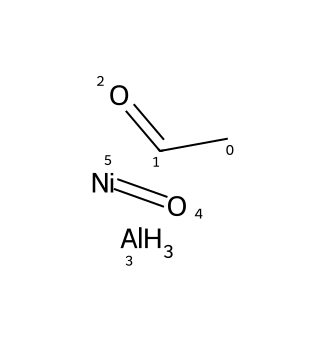 CC=O.[AlH3].[O]=[Ni]